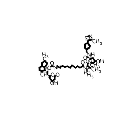 Cc1ncsc1-c1ccc(CNC(=O)[C@@H]2C[C@@H](O)CN2C(=O)[C@@H](NC(=O)CCCCCCCCCCNC(=O)O[C@H]2C[C@@H](C)C=C3C=C[C@H](C)[C@H](CC[C@@H]4C[C@@H](O)CC(=O)O4)[C@H]32)C(C)(C)C)cc1